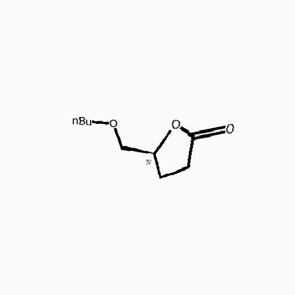 CCCCOC[C@@H]1CCC(=O)O1